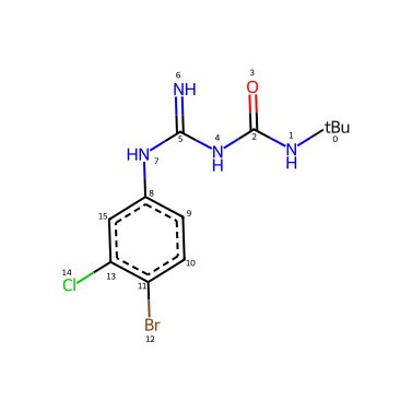 CC(C)(C)NC(=O)NC(=N)Nc1ccc(Br)c(Cl)c1